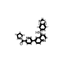 O=C(c1ccc(-c2ccc3nccc(Nc4ccc5scnc5c4)c3c2)cn1)N1CCCC1